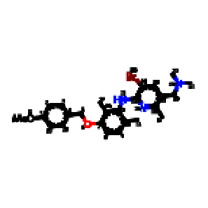 COc1ccc(COc2ccc(C)c(Nc3nc(C)c(CN(C)C)cc3Br)c2C)cc1